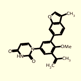 C=C(C)c1cc(-n2ccc(=O)[nH]c2=O)cc(-c2ccc3c(C)coc3c2)c1OC